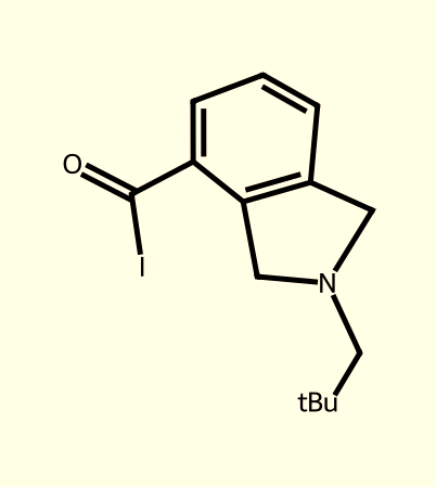 CC(C)(C)CN1Cc2cccc(C(=O)I)c2C1